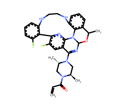 C=CC(=O)N1C[C@H](C)N(C2=NC3OC(C)c4cccc5c4N3c3nc(c(F)cc32)-c2c(F)cccc2NCCN5)C[C@H]1C